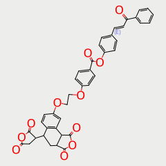 O=C1CC(C2CC3C(=O)OC(=O)C3c3cc(OCCOc4ccc(C(=O)Oc5ccc(/C=C/C(=O)c6ccccc6)cc5)cc4)ccc32)C(=O)O1